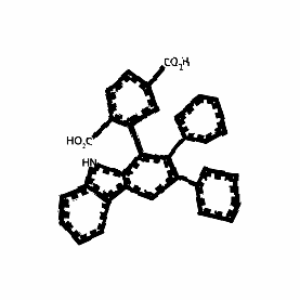 O=C(O)c1ccc(C(=O)O)c(-c2c(-c3ccccc3)c(-c3ccccc3)cc3c2[nH]c2ccccc23)c1